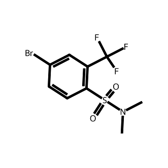 CN(C)S(=O)(=O)c1ccc(Br)cc1C(F)(F)F